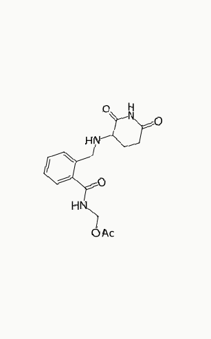 CC(=O)OCNC(=O)c1ccccc1CNC1CCC(=O)NC1=O